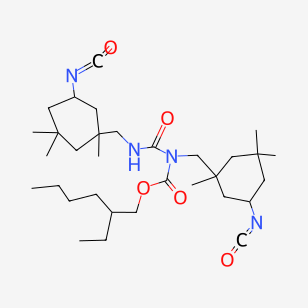 CCCCC(CC)COC(=O)N(CC1(C)CC(N=C=O)CC(C)(C)C1)C(=O)NCC1(C)CC(N=C=O)CC(C)(C)C1